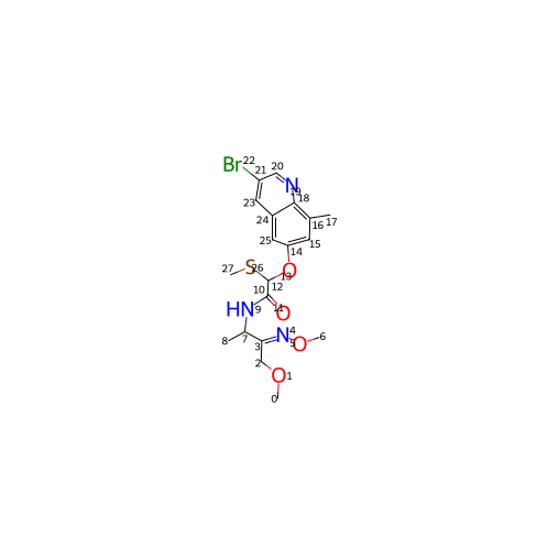 COCC(=NOC)C(C)NC(=O)C(Oc1cc(C)c2ncc(Br)cc2c1)SC